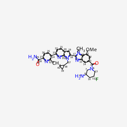 COc1cc(C(=O)N2C[C@H](N)C[C@@H](F)C2)cc2nc(-c3cc4ccc(-c5ccc(C(N)=O)nc5C)nc4n3CC3CC3)n(C)c12